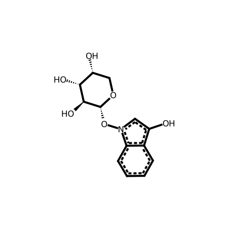 Oc1cn(O[C@H]2OC[C@@H](O)[C@@H](O)[C@@H]2O)c2ccccc12